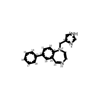 C1=CN(Cc2c[nH]cn2)c2ccc(-c3ccccc3)cc2C=N1